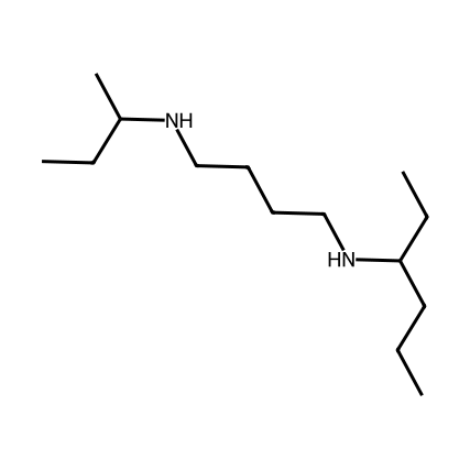 CCCC(CC)NCCCCNC(C)CC